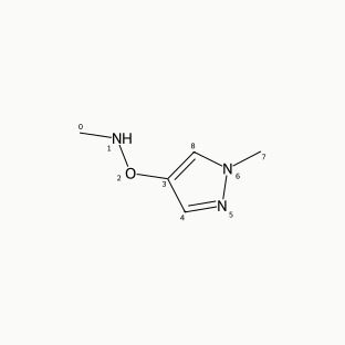 CNOc1cnn(C)c1